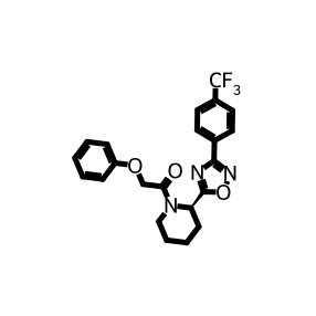 O=C(COc1ccccc1)N1CCCC[C@@H]1c1nc(-c2ccc(C(F)(F)F)cc2)no1